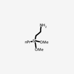 CCC[Si](CCN)(OC)OC